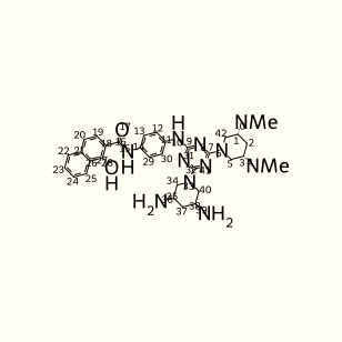 CN[C@@H]1C[C@H](NC)CN(c2nc(Nc3ccc(NC(=O)c4ccc5ccccc5c4O)cc3)nc(N3C[C@H](N)C[C@H](N)C3)n2)C1